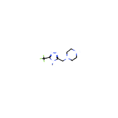 Cn1c(CN2CCNCC2)nnc1C(F)(F)F